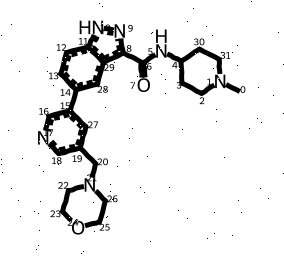 CN1CCC(NC(=O)c2n[nH]c3ccc(-c4cncc(CN5CCOCC5)c4)cc23)CC1